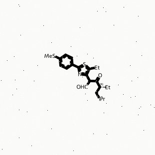 CCc1sc(-c2ccc(SC)cc2)nc1C(C=O)C(=O)[C@H](CC)CC(C)C